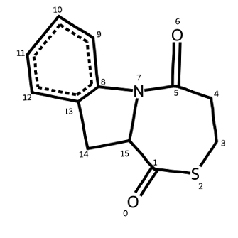 O=C1SCCC(=O)N2c3ccccc3CC12